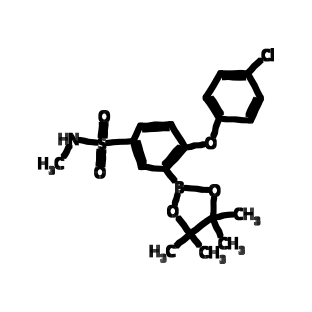 CNS(=O)(=O)c1ccc(Oc2ccc(Cl)cc2)c(B2OC(C)(C)C(C)(C)O2)c1